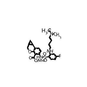 COC(=O)c1c(NS(=O)(=O)c2ccc(F)cc2NCCCCN(C)C)ccc2c1OCC1CC21